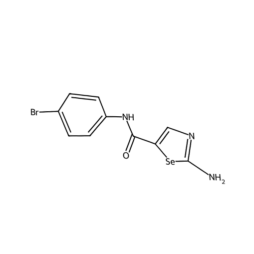 Nc1ncc(C(=O)Nc2ccc(Br)cc2)[se]1